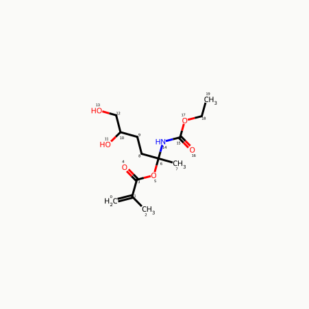 C=C(C)C(=O)OC(C)(CCC(O)CO)NC(=O)OCC